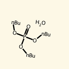 CCCCOP(=O)(OCCCC)OCCCC.O